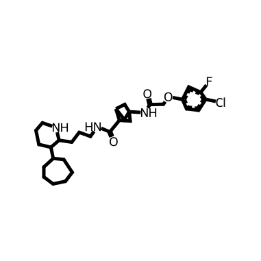 O=C(COc1ccc(Cl)c(F)c1)NC12CC(C1)C(C(=O)NCCCC1NCCCC1C1CCCCCC1)C2